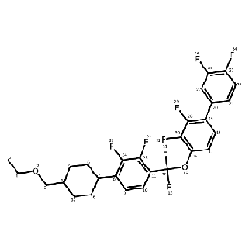 CCOCC1CCC(c2ccc(C(F)(F)Oc3ccc(-c4ccc(F)c(F)c4)c(F)c3F)c(F)c2F)CC1